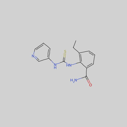 CCc1cccc(C(N)=O)c1NC(=S)Nc1cccnc1